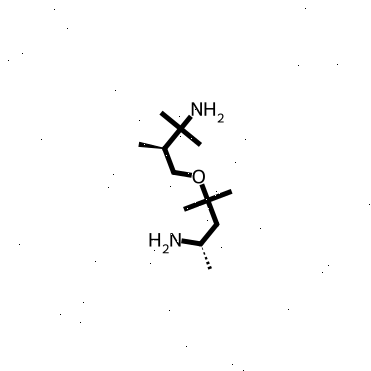 C[C@H](N)CC(C)(C)OC[C@@H](C)C(C)(C)N